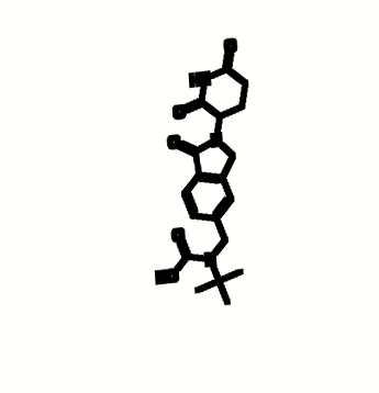 CC(C)(C)N(Cc1ccc2c(c1)CN(C1CCC(=O)NC1=O)C2=O)C(=O)O